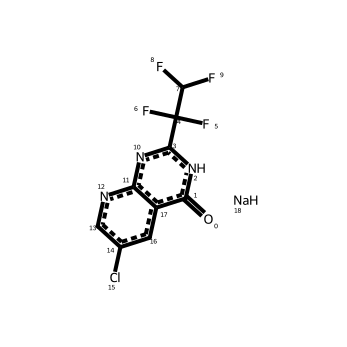 O=c1[nH]c(C(F)(F)C(F)F)nc2ncc(Cl)cc12.[NaH]